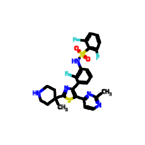 Cc1nccc(-c2sc(C3(C)CCNCC3)nc2-c2cccc(NS(=O)(=O)c3c(F)cccc3F)c2F)n1